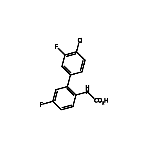 O=C(O)Nc1ccc(F)cc1-c1ccc(Cl)c(F)c1